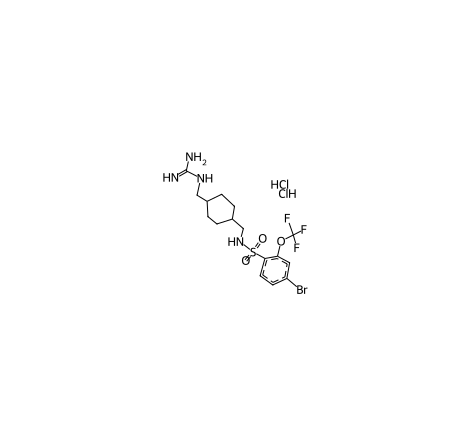 Cl.Cl.N=C(N)NCC1CCC(CNS(=O)(=O)c2ccc(Br)cc2OC(F)(F)F)CC1